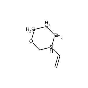 C=C[SiH]1CO[SiH2][SiH2][SiH2]1